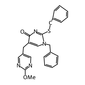 COc1ncc(Cc2cn(Cc3ccccc3)c(SCc3ccccc3)nc2=O)cn1